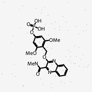 CNC(=O)c1nc2ccccc2nc1OCc1c(OC)cc(OP(=O)(O)O)cc1OC